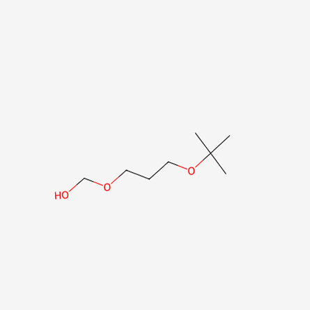 CC(C)(C)OCCCOCO